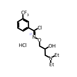 CCN(CC)CC(O)CO/N=C(\Cl)c1cccc(C(F)(F)F)c1.Cl